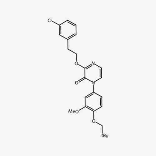 COc1cc(-n2ccnc(OCCc3cccc(Cl)c3)c2=O)ccc1OCC(C)(C)C